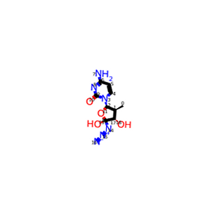 C[C@@H]1[C@H](n2ccc(N)nc2=O)O[C@@](O)(N=[N+]=[N-])[C@H]1O